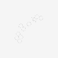 Cn1c(-c2ccc(-c3ccc(-c4ccc5ccc6cccc7ccc4c5c67)c4ccccc34)cc2)nc2c3ccccc3ccc21